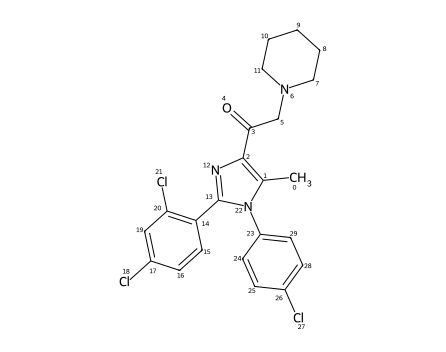 Cc1c(C(=O)CN2CCCCC2)nc(-c2ccc(Cl)cc2Cl)n1-c1ccc(Cl)cc1